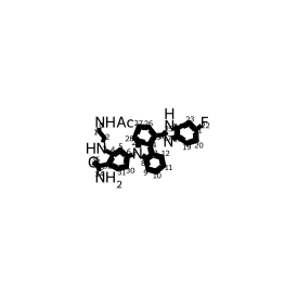 CC(=O)NCCNc1cc(-n2c3ccccc3c3c(-c4nc5ccc(F)cc5[nH]4)cccc32)ccc1C(N)=O